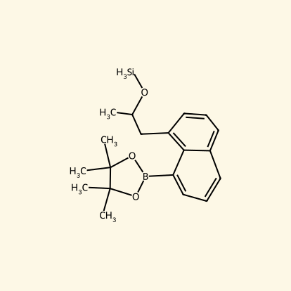 CC(Cc1cccc2cccc(B3OC(C)(C)C(C)(C)O3)c12)O[SiH3]